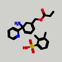 CCC(=O)OCC1=CC=CC(N)(c2ccccn2)C1.Cc1cccc(S(=O)(=O)O)c1C